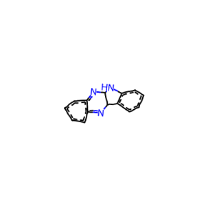 c1ccc2c(c1)NC1N=c3ccccc3=NC21